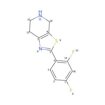 Fc1ccc(-c2nc3c(s2)CNCC3)c(F)c1